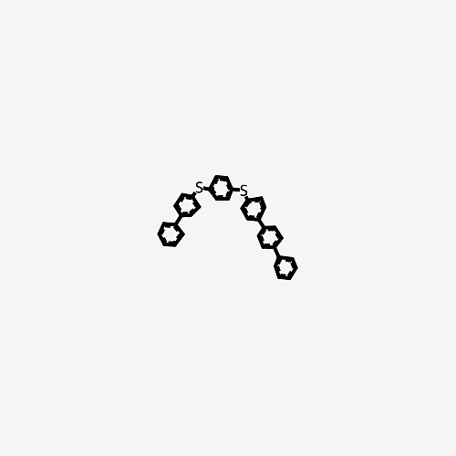 c1ccc(-c2ccc(Sc3ccc(Sc4ccc(-c5ccc(-c6ccccc6)cc5)cc4)cc3)cc2)cc1